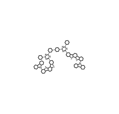 c1ccc(-c2nc(-c3ccc(-c4cccc(-c5nc(-c6ccccc6)nc(-c6ccc7sc8ccc9c%10cccc(-n%11c%12ccccc%12c%12ccccc%12%11)c%10sc9c8c7c6)n5)c4)cc3)nc(-c3ccc4sc5c(ccc6c7cccc(-n8c9ccccc9c9ccccc98)c7sc65)c4c3)n2)cc1